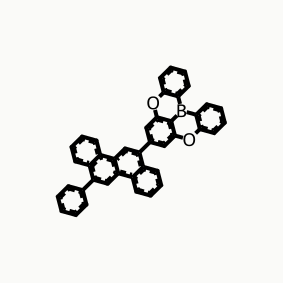 c1ccc(-c2cc3c4ccccc4c(-c4cc5c6c(c4)Oc4ccccc4B6c4ccccc4O5)cc3c3ccccc23)cc1